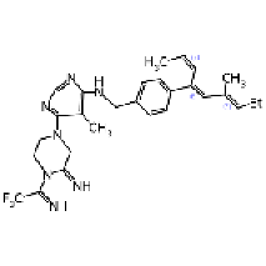 C\C=C/C(=C\C(C)=C\CC)c1ccc(CNc2ncnc(N3CCN(C(=N)C(F)(F)F)C(=N)C3)c2C)cc1